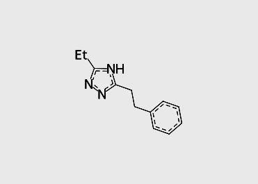 CCc1nnc(CCc2ccccc2)[nH]1